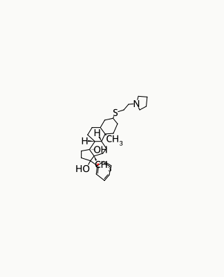 C[C@]12CCC(SCCN3CCCC3)CC1CC[C@@H]1[C@H]2CC[C@]2(C)C(O)(c3ccccc3)CC[C@@]12O